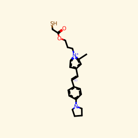 Cc1cc(/C=C/c2ccc(N3CCCC3)cc2)cc[n+]1CCCOC(=O)CS